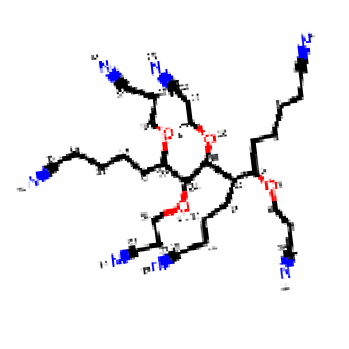 N#CCCCCC(OCCC#N)C(CCCC#N)C(OCCC#N)C(OCCC#N)C(CCCCC#N)OCCC#N